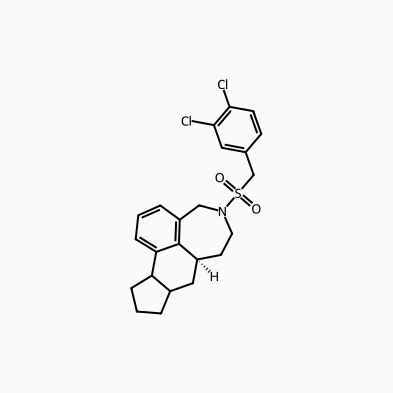 O=S(=O)(Cc1ccc(Cl)c(Cl)c1)N1CC[C@H]2CC3CCCC3c3cccc(c32)C1